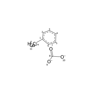 Cc1ccccc1.O=C([O-])[O-].[Cu+2]